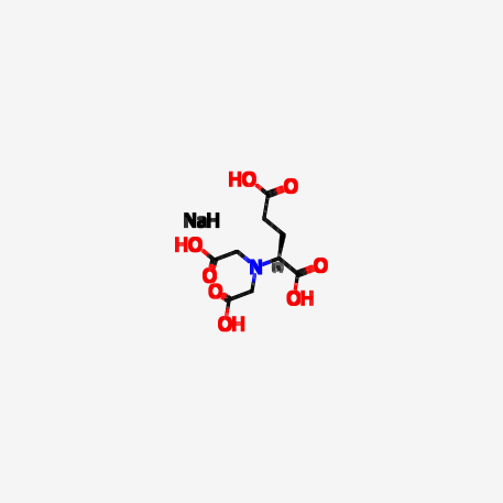 O=C(O)CC[C@@H](C(=O)O)N(CC(=O)O)CC(=O)O.[NaH]